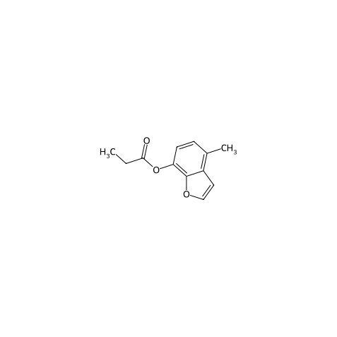 CCC(=O)Oc1ccc(C)c2ccoc12